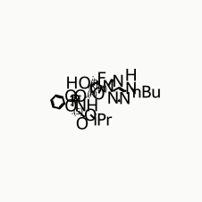 CCCCNc1ncnc2c1ncn2[C@@H]1O[C@H](CO[P@@](=O)(N[C@@H](C)C(=O)OC(C)C)Oc2ccccc2)[C@@H](O)[C@@]1(C)F